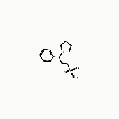 NS(=O)(=O)CCC(c1ccccc1)N1CCCC1